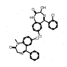 CN1C(=O)CN=C(c2ccccc2)c2cc(Cl)ccc21.O=C1Nc2ccc(Cl)cc2C(c2ccccc2Cl)=NC1O